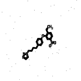 C=Cc1ccc([N+](=O)[O-])cc1Oc1ccc(CCCCn2ccnn2)cc1